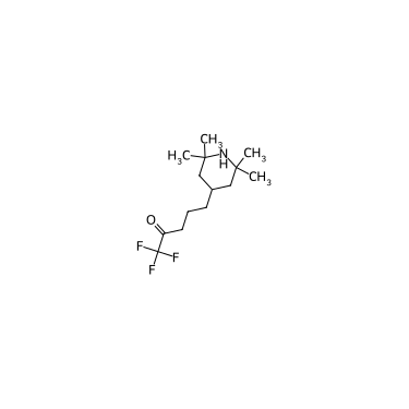 CC1(C)CC(CCCC(=O)C(F)(F)F)CC(C)(C)N1